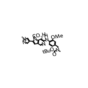 COc1cc(CN(C)C(=O)OC(C)(C)C)ccc1Nc1cc2c(cn1)cc(-c1cnn(C)c1)n2C(=O)O